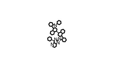 c1ccc(-c2nc(-n3c4ccccc4c4c5ccccc5c(-c5cc6c(c7ccccc57)c5ccccc5n6-c5ccccc5)cc43)nc3cccnc23)cc1